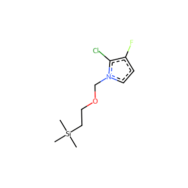 C[Si](C)(C)CCOCn1ccc(F)c1Cl